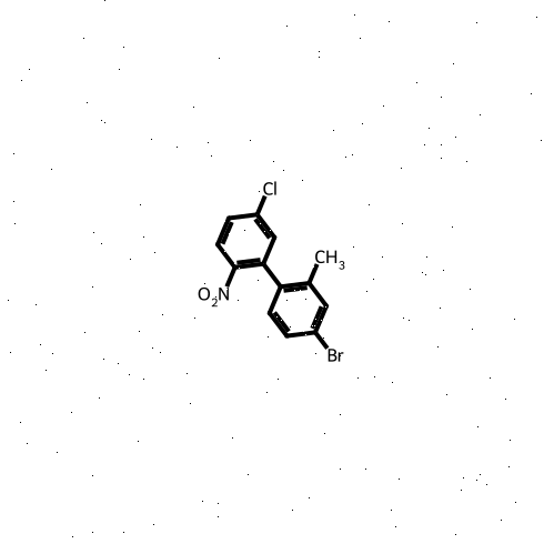 Cc1cc(Br)ccc1-c1cc(Cl)ccc1[N+](=O)[O-]